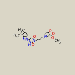 CCOC(=O)C1CN(CCCCCn2c(=O)cc(Nc3ccc(C)c(CC)c3)[nH]c2=O)CCC1=O